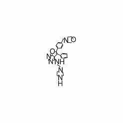 c1ccc(-c2c(-c3ccc(CN4CCOCC4)cc3)oc3ncnc(NCCN4CCNCC4)c23)cc1